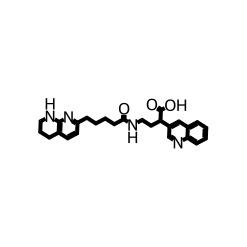 O=C(CCCCc1ccc2c(n1)NCCC2)NCCC(C(=O)O)c1cnc2ccccc2c1